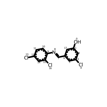 Oc1cc(Cl)cc(C=Nc2ccc(Cl)cc2Cl)c1